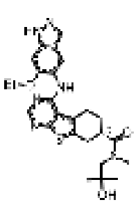 CCOc1cc2[nH]ncc2cc1Nc1ncnc2sc3c(c12)CC[C@H](C(=O)N(C)CC(C)(C)O)C3